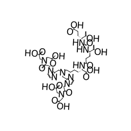 C=C(O)[C@@H](CCC(=O)O)NC(=O)N[C@H](CCC(=O)N[C@@H](CCCCN(Cc1nccn1CC(=O)N(CC(=O)O)CC(=O)O)Cc1nccn1CC(=O)N(CC(=O)O)CC(=O)O)C(=O)O)C(=C)O